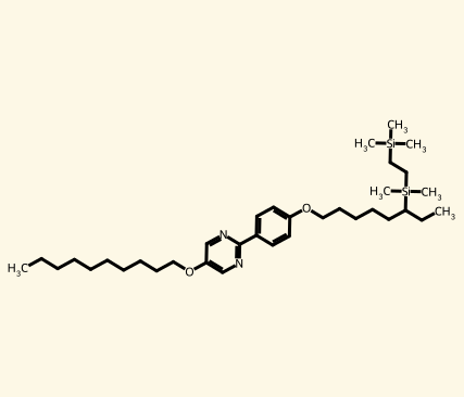 CCCCCCCCCCOc1cnc(-c2ccc(OCCCCCC(CC)[Si](C)(C)CC[Si](C)(C)C)cc2)nc1